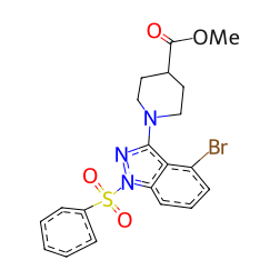 COC(=O)C1CCN(c2nn(S(=O)(=O)c3ccccc3)c3cccc(Br)c23)CC1